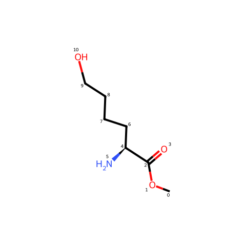 COC(=O)[C@@H](N)CCCCO